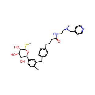 CS[C@H]1O[C@@H](c2ccc(C)c(Cc3ccc(CCCC(=O)NCCN(C)Cc4ccncc4)cc3)c2)[C@H](O)[C@@H](O)[C@@H]1O